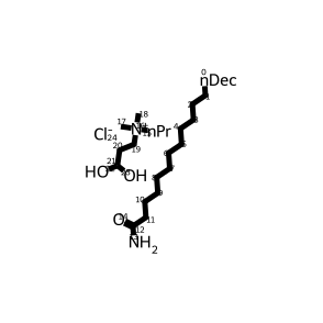 CCCCCCCCCCCCCCCCCCCCCC(N)=O.CCC[N+](C)(C)CCC(O)O.[Cl-]